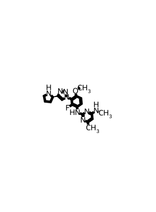 CNc1cc(C)nc(Nc2ccc(OC)c(-n3cc([C@H]4CCCN4)nn3)c2F)n1